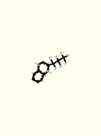 FC(F)(F)C(F)(F)C(F)(F)c1cnc2ccccc2n1